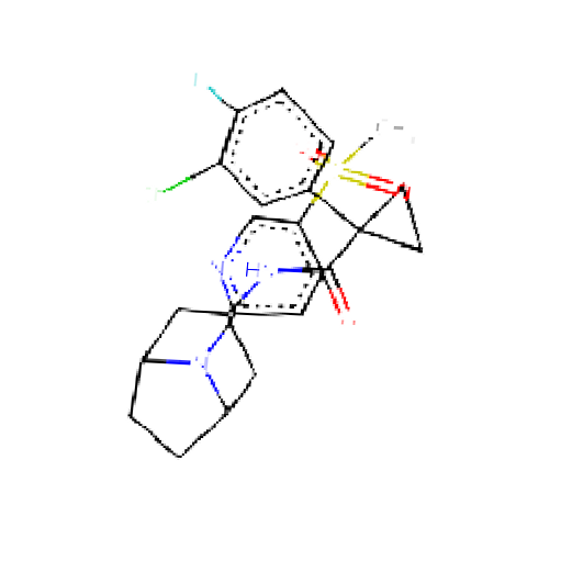 CS(=O)(=O)c1ccc(N2C3CCC2CC(NC(=O)C2(c4ccc(F)c(Cl)c4)CC2)C3)nc1